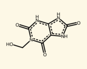 O=c1[nH]c2[nH]c(=O)n(CO)c(=O)c2[nH]1